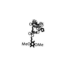 COc1c(C)c(C)c(OC)c(CCCOC(=O)NCCC[C@H](NC(=O)[C@@H](NC(=O)[C@@H]2CCCN2C(=O)OC(C)(C)C)C(C)C)C(=O)NC(C)C)c1C